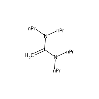 C=C(N(CCC)CCC)N(CCC)CCC